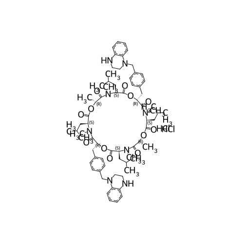 CC(C)C[C@H]1C(=O)O[C@H](Cc2ccc(CN3CCNc4ccccc43)cc2)C(=O)N(C)[C@@H](CC(C)C)C(=O)O[C@H](C)C(=O)N(C)[C@@H](CC(C)C)C(=O)O[C@H](Cc2ccc(CN3CCNc4ccccc43)cc2)C(=O)N(C)[C@@H](CC(C)C)C(=O)O[C@H](C)C(=O)N1C.Cl.Cl